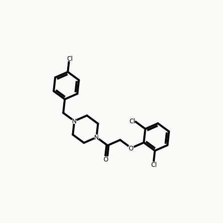 O=C(COc1c(Cl)cccc1Cl)N1CCN(Cc2ccc(Cl)cc2)CC1